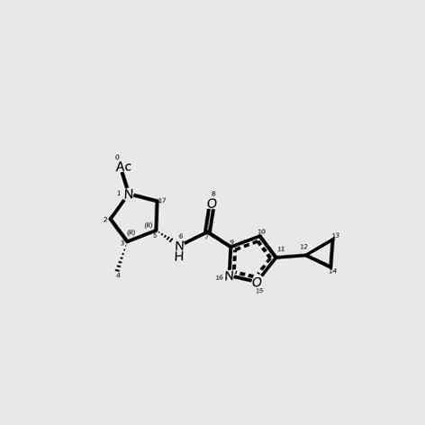 CC(=O)N1C[C@@H](C)[C@@H](NC(=O)c2cc(C3CC3)on2)C1